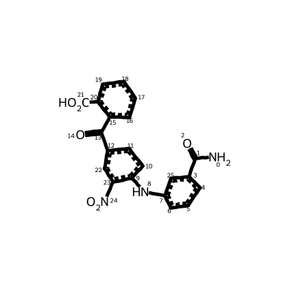 NC(=O)c1cccc(Nc2ccc(C(=O)c3ccccc3C(=O)O)cc2[N+](=O)[O-])c1